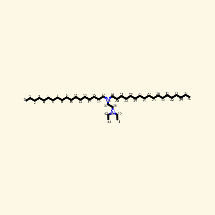 CCCCCCCCCCCCCCCCCCN(CCCCCCCCCCCCCCCCCC)CCN(CC)CC